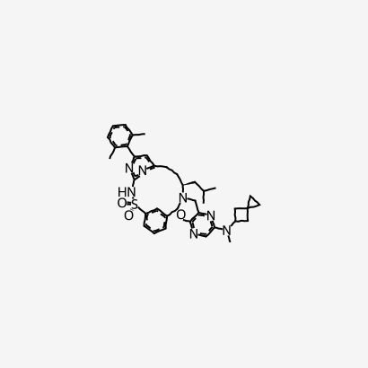 Cc1cccc(C)c1-c1cc2nc(n1)NS(=O)(=O)c1cccc(c1)C(=O)N(Cc1nc(N(C)C3CC4(CC4)C3)cnc1C)[C@H](CC(C)C)CC2